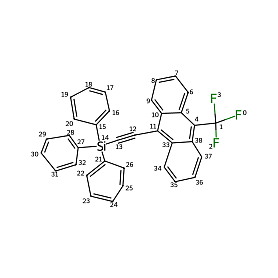 FC(F)(F)c1c2ccccc2c(C#C[Si](c2ccccc2)(c2ccccc2)c2ccccc2)c2ccccc12